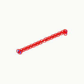 O=C(CCOCCOCCOCCOCCOCCOCCOCCOCCOCCOCCOCCOCCCCOCCOCCOCCOCCOCCOCCOCCOCCOCCOCCOCCOCCOCCC(=O)ON1C(=O)CCC1=O)ON1C(=O)CCC1=O